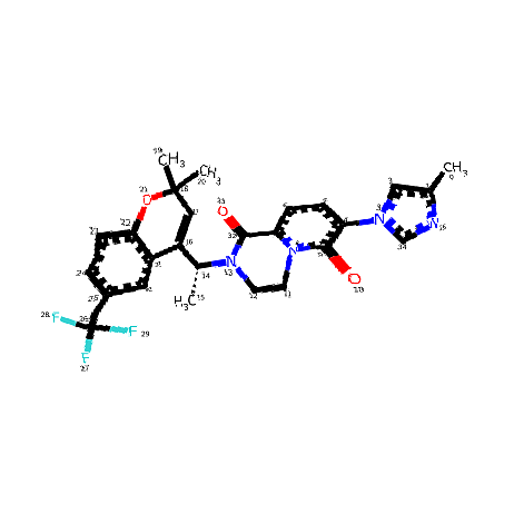 Cc1cn(-c2ccc3n(c2=O)CCN([C@H](C)C2=CC(C)(C)Oc4ccc(C(F)(F)F)cc42)C3=O)cn1